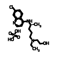 CCN(CCO)CCC[C@@H](C)Nc1ccnc2cc(Cl)ccc12.O=S(=O)(O)O